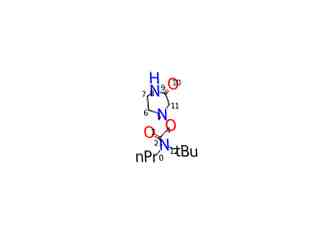 CCCN(C(=O)ON1CCNC(=O)C1)C(C)(C)C